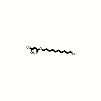 CC(C)=CC(=O)OCCCCCCCCCCO